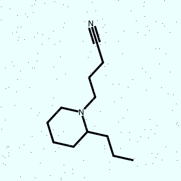 CCCC1CCCCN1CCCC#N